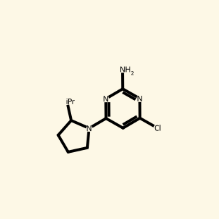 CC(C)C1CCCN1c1cc(Cl)nc(N)n1